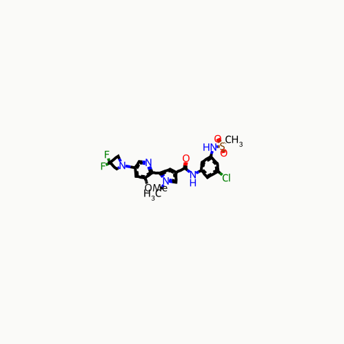 COc1cc(N2CC(F)(F)C2)cnc1-c1cc(C(=O)Nc2cc(Cl)cc(NS(C)(=O)=O)c2)cn1C